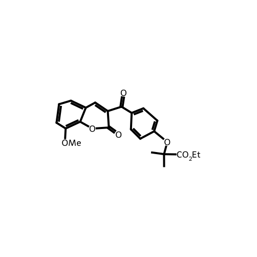 CCOC(=O)C(C)(C)Oc1ccc(C(=O)c2cc3cccc(OC)c3oc2=O)cc1